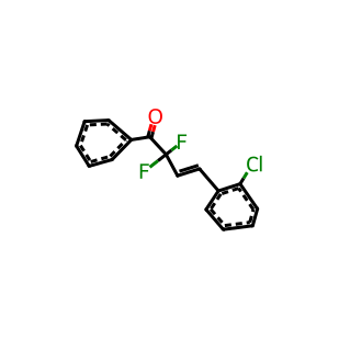 O=C(c1ccccc1)C(F)(F)/C=C/c1ccccc1Cl